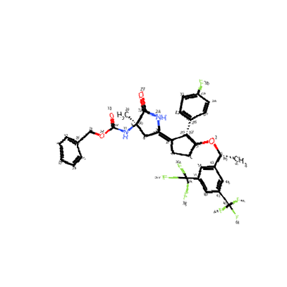 C[C@@H](OC1CCC(=C2C[C@@](C)(NC(=O)OCc3ccccc3)C(=O)N2)[C@@H]1c1ccc(F)cc1)c1cc(C(F)(F)F)cc(C(F)(F)F)c1